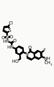 CNc1cc2ccn(-c3ccc(NC(=O)NS(=O)(=O)c4ccc(Cl)s4)cc3CO)c(=O)c2cc1F